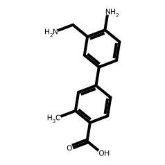 Cc1cc(-c2ccc(N)c(CN)c2)ccc1C(=O)O